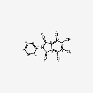 O=C1c2c(Cl)c(Cl)c(Cl)c(Cl)c2C(=O)N1c1ccccc1